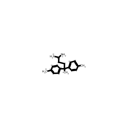 Cc1ccc(C(C)(CCC(N)N)c2ccc(C)cc2)cc1